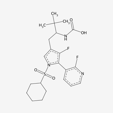 CC(C)(C)C(Cc1cn(S(=O)(=O)C2CCCCC2)c(-c2cccnc2F)c1F)NC(=O)O